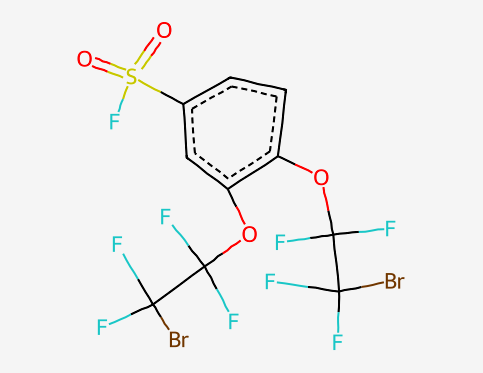 O=S(=O)(F)c1ccc(OC(F)(F)C(F)(F)Br)c(OC(F)(F)C(F)(F)Br)c1